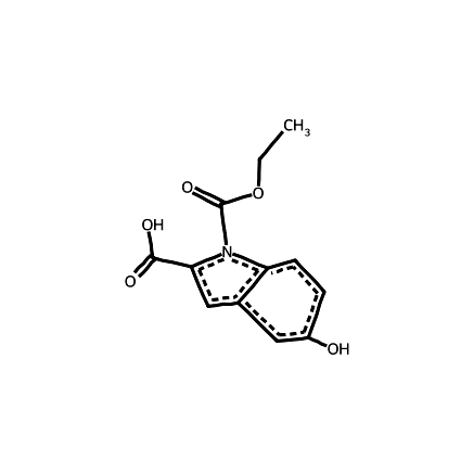 CCOC(=O)n1c(C(=O)O)cc2cc(O)ccc21